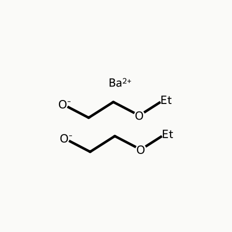 CCOCC[O-].CCOCC[O-].[Ba+2]